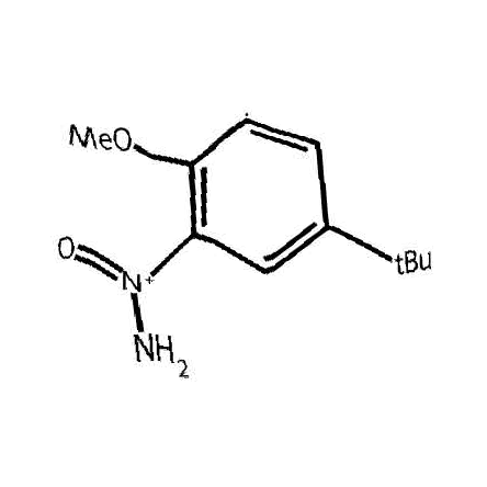 COc1[c]cc(C(C)(C)C)cc1[N+](N)=O